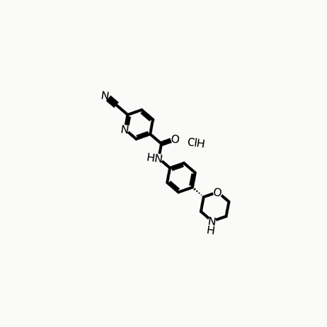 Cl.N#Cc1ccc(C(=O)Nc2ccc([C@H]3CNCCO3)cc2)cn1